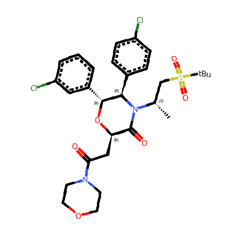 C[C@@H](CS(=O)(=O)C(C)(C)C)N1C(=O)[C@@H](CC(=O)N2CCOCC2)O[C@H](c2cccc(Cl)c2)[C@H]1c1ccc(Cl)cc1